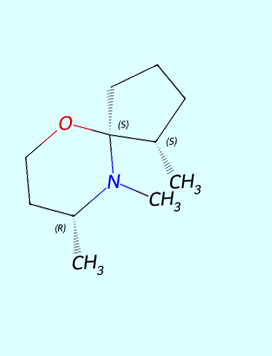 C[C@@H]1CCO[C@]2(CCC[C@@H]2C)N1C